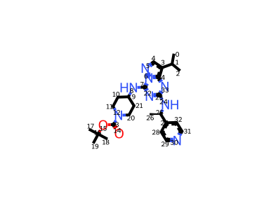 CC(C)c1cnn2c(NC3CCN(C(=O)OC(C)(C)C)CC3)nc(N[C@H](C)c3ccncc3)nc12